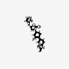 Cc1nc2ccc(-c3ccc(N4C[C@H](Cn5ccnn5)OC4=O)cc3F)cn2n1